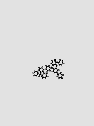 CC1(c2ccccc2)c2ccccc2-c2c(-c3ccc(N(c4ccc(-c5ccccc5)cc4)c4cccc5c4oc4ccccc45)cc3)cccc21